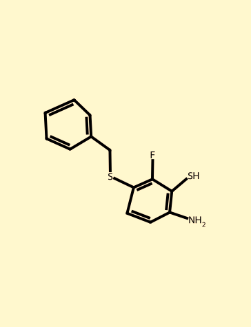 Nc1ccc(SCc2ccccc2)c(F)c1S